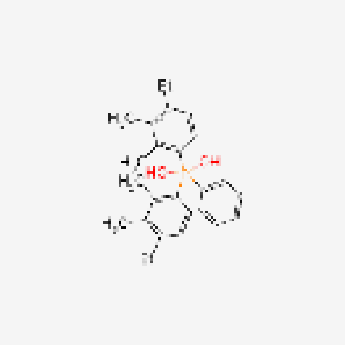 CCc1ccc(P(O)(O)(c2ccccc2)c2ccc(CC)c(C)c2C)c(C)c1C